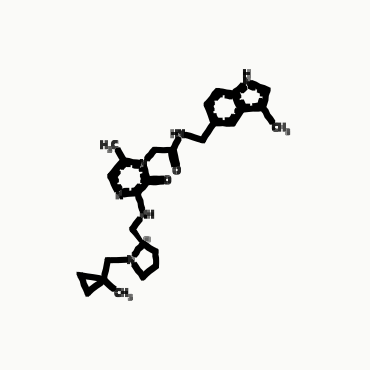 Cc1c[nH]c2ccc(CNC(=O)Cn3c(C)cnc(NC[C@H]4CCCN4CC4(C)CC4)c3=O)cc12